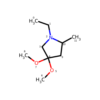 CCN1CC(OC)(OC)CC1C